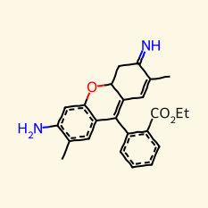 CCOC(=O)c1ccccc1C1=C2C=C(C)C(=N)CC2Oc2cc(N)c(C)cc21